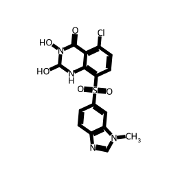 Cn1cnc2ccc(S(=O)(=O)c3ccc(Cl)c4c3NC(O)N(O)C4=O)cc21